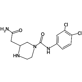 NC(=O)CC1CN(C(=O)Nc2ccc(Cl)c(Cl)c2)CCN1